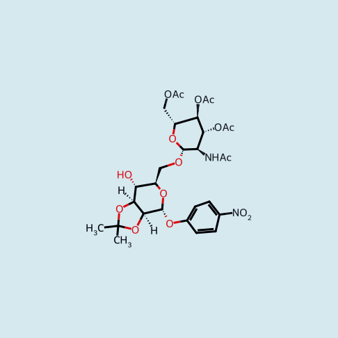 CC(=O)N[C@H]1[C@H](OC[C@H]2O[C@H](Oc3ccc([N+](=O)[O-])cc3)[C@H]3OC(C)(C)O[C@H]3[C@@H]2O)O[C@H](COC(C)=O)[C@@H](OC(C)=O)[C@@H]1OC(C)=O